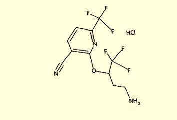 Cl.N#Cc1ccc(C(F)(F)F)nc1OC(CCN)C(F)(F)F